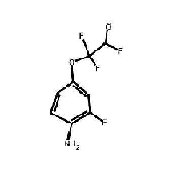 Nc1ccc(OC(F)(F)C(F)Cl)cc1F